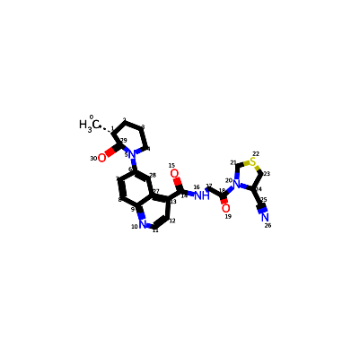 C[C@@H]1CCCN(c2ccc3nccc(C(=O)NCC(=O)N4CSCC4C#N)c3c2)C1=O